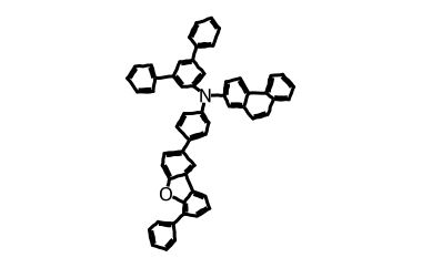 c1ccc(-c2cc(-c3ccccc3)cc(N(c3ccc(-c4ccc5oc6c(-c7ccccc7)cccc6c5c4)cc3)c3ccc4c(ccc5ccccc54)c3)c2)cc1